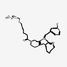 O=C(O)COCCCC(=O)N1CCc2c(n(Cc3cccc(F)c3)c3c2=CCCN=3)C1